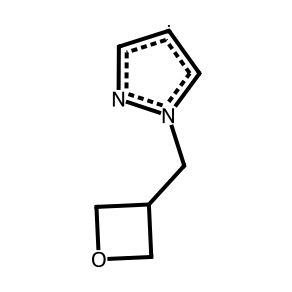 [c]1cnn(CC2COC2)c1